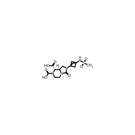 CS(=O)(=O)NC12CC(N3C[C@@H]4[C@@H](C(=O)O)N(C(=O)O)CCN4C3=O)(C1)C2